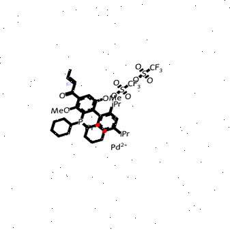 C/C=C/C(=O)c1cc(OC)c(-c2c(C(C)C)cc(C(C)C)cc2C(C)C)c(P(C2CCCCC2)C2CCCCC2)c1OC.O=S(=O)([O-])C(F)(F)F.O=S(=O)([O-])C(F)(F)F.[Pd+2]